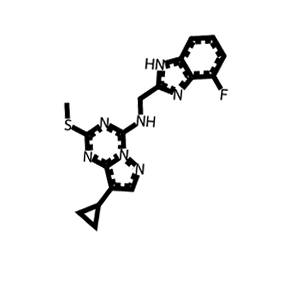 CSc1nc(NCc2nc3c(F)cccc3[nH]2)n2ncc(C3CC3)c2n1